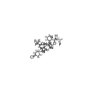 O=C(NC1CC1F)c1ncccc1-n1cnc(Cn2nc(-c3ccc(Cl)cc3)n(C[C@H](O)C(F)(F)F)c2=O)n1